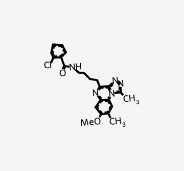 COc1cc2nc(CCCCNC(=O)c3ccccc3Cl)c3nnc(C)n3c2cc1C